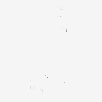 C=C(C)c1cc2c(cc1C(C)C1(C)CN(C(=O)OC(C)(C)C)C1)N1C(=NNC(=O)C1C)CO2